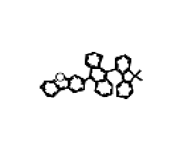 CC1(C)c2ccccc2-c2c(-c3c4ccccc4c(-c4ccc5c(c4)oc4ccccc45)c4ccccc34)cccc21